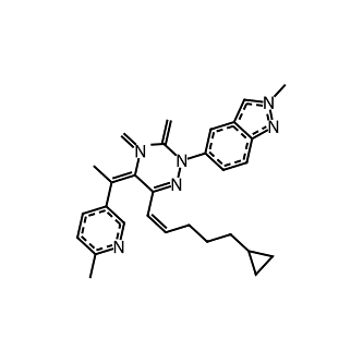 C=NC(=C(C)c1ccc(C)nc1)C(/C=C\CCCC1CC1)=N\N(C(=C)C)c1ccc2nn(C)cc2c1